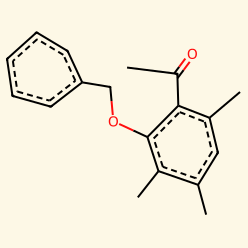 CC(=O)c1c(C)cc(C)c(C)c1OCc1ccccc1